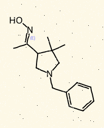 C/C(=N\O)C1CN(Cc2ccccc2)CC1(C)C